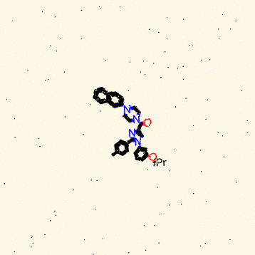 Cc1ccc(-c2nc(C(=O)N3CCN(c4ccc5ccccc5c4)CC3)cn2-c2cccc(OC(C)C)c2)cc1